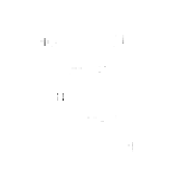 [2H]c1cnc(O)c(Cl)c1